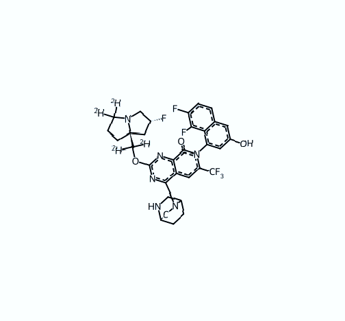 [2H]C1([2H])CC[C@@]2(C([2H])([2H])Oc3nc(N4CC5CCC4CN5)c4cc(C(F)(F)F)n(-c5cc(O)cc6ccc(F)c(F)c56)c(=O)c4n3)C[C@@H](F)CN12